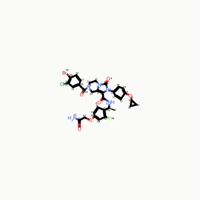 C[C@H](NC(=O)c1c2n(c(=O)n1-c1ccc(OC3CC3)cc1)CCN(C(=O)c1ccc(Br)c(Cl)c1)C2)c1ccc(OCC(N)=O)cc1F